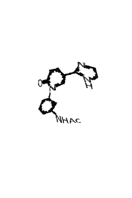 CC(=O)Nc1cccc(-n2cc(-c3ncc[nH]3)ccc2=O)c1